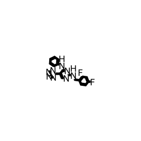 Fc1ccc(CNc2ncc3c(n2)Nc2ccccc2-n2nnnc2-3)c(F)c1